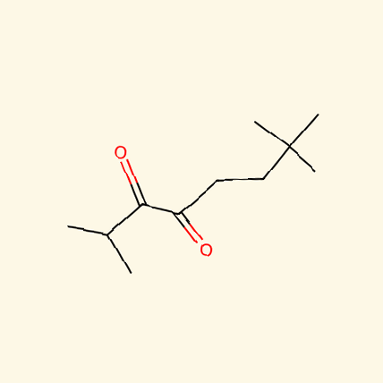 CC(C)C(=O)C(=O)CCC(C)(C)C